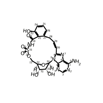 Nc1ncnc2c1nc1n2[C@@H]2O[C@H](COS(=O)(=O)NC(=O)c3c(O)cccc3C/C=C\1)[C@@H](O)[C@H]2O